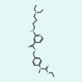 CCOC(=O)N(C)c1ccc(COC(=O)c2ccnc(NCCCCN(CC)CC)c2)cc1